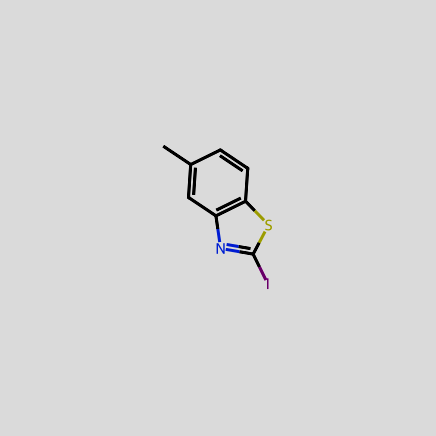 Cc1ccc2sc(I)nc2c1